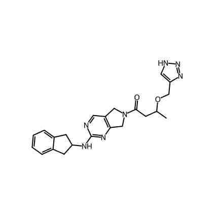 CC(CC(=O)N1Cc2cnc(NC3Cc4ccccc4C3)nc2C1)OCc1c[nH]nn1